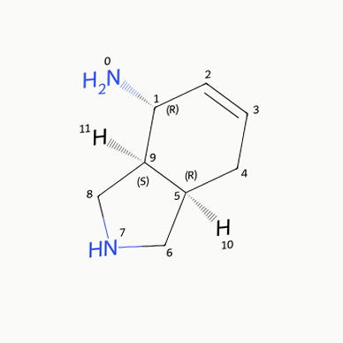 N[C@@H]1C=CC[C@H]2CNC[C@H]21